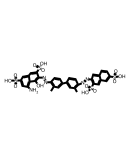 Cc1cc(-c2ccc(N=Nc3c(S(=O)(=O)O)cc4cc(S(=O)(=O)O)cc(N)c4c3O)c(C)c2)ccc1N=Nc1cc2ccc(S(=O)(=O)O)cc2cc1S(=O)(=O)O